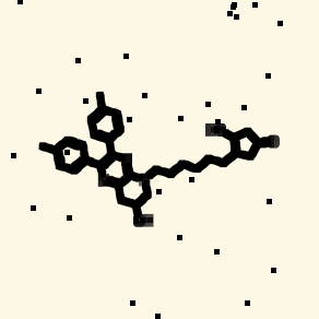 Cc1ccc(-c2nc3c(nc2-c2ccc(C)cc2)N(CCCCCCC2=C(O)CC(=O)C2)CC(O)C3)cc1